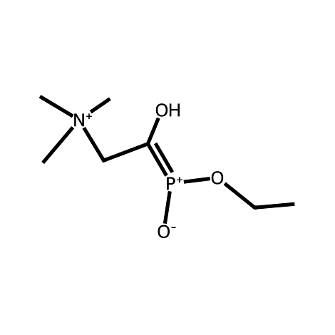 CCO[P+]([O-])=C(O)C[N+](C)(C)C